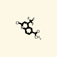 CC(=O)c1ccc2nc(Cl)cc(C(F)(F)F)c2c1